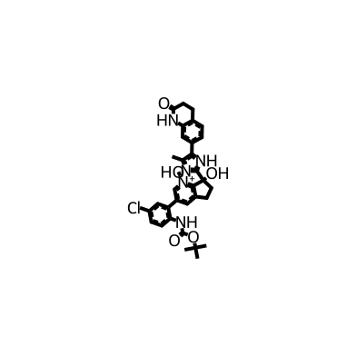 Cc1nc(C2(O)CCc3cc(-c4cc(Cl)ccc4NC(=O)OC(C)(C)C)c[n+](O)c32)[nH]c1-c1ccc2c(c1)NC(=O)CC2